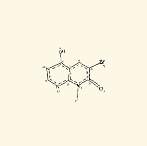 Cn1c(=O)c(Br)cc2c(O)ncnc21